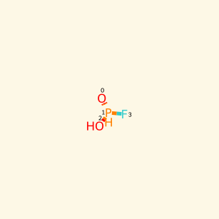 O=[PH](O)F